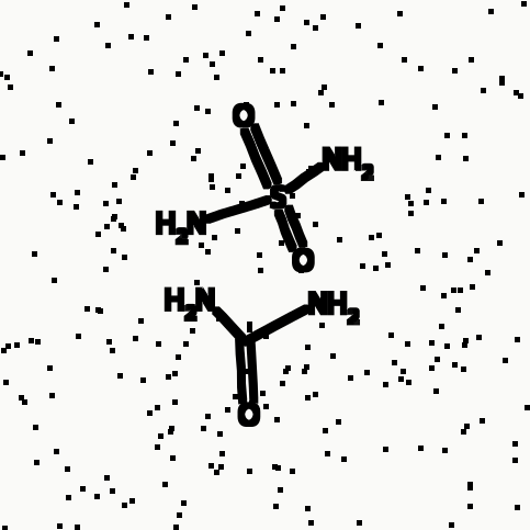 NC(N)=O.NS(N)(=O)=O